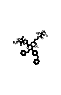 COC(=O)C1(C(=O)O)OCC(C(=O)N(CC(=O)OCOC(=O)C(C)(C)C)C(C)C(CCc2ccccc2)c2ccc(Oc3ccccc3)cc2)O1